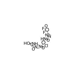 COc1ccc(-c2cnc(C(=O)Nc3ccc(C(=O)N4CCN(C(=O)[C@@H]5C[C@H](O)CN5)CC4)c(Cl)c3)n2C)c(F)c1F